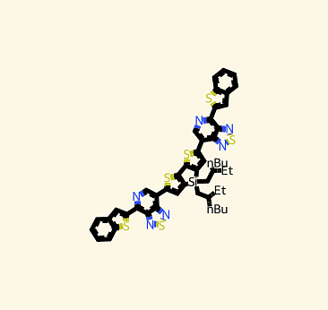 CCCCC(CC)C[Si]1(CC(CC)CCCC)c2cc(-c3cnc(-c4cc5ccccc5s4)c4nsnc34)sc2-c2sc(-c3cnc(-c4cc5ccccc5s4)c4nsnc34)cc21